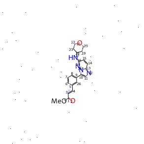 COC(=O)/C=C/c1cccc(-c2cnc3ccc(NC4CCOCC4)nn23)c1